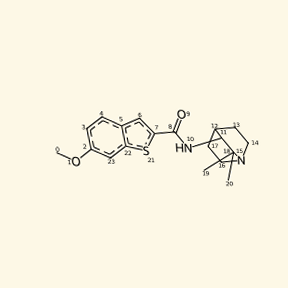 COc1ccc2cc(C(=O)NC3C4CCN(CC4)C3(C)C)sc2c1